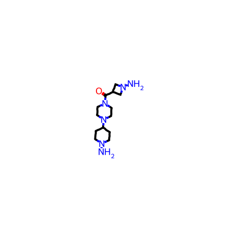 NN1CCC(N2CCN(C(=O)C3CN(N)C3)CC2)CC1